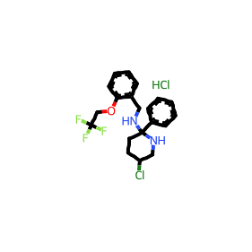 Cl.FC(F)(F)COc1ccccc1CNC1(c2ccccc2)CCC(Cl)CN1